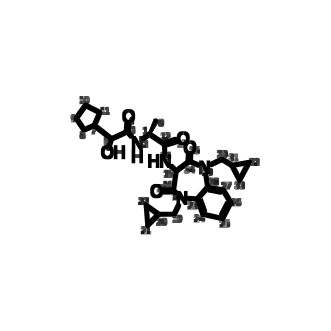 C[C@H](NC(=O)C(O)C1CCCC1)C(=O)NC1C(=O)N(CC2CC2)c2ccccc2N(CC2CC2)C1=O